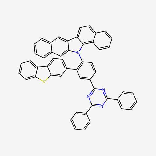 c1ccc(-c2nc(-c3ccccc3)nc(-c3ccc(-n4c5cc6ccccc6cc5c5ccc6ccccc6c54)c(-c4ccc5c(c4)sc4ccccc45)c3)n2)cc1